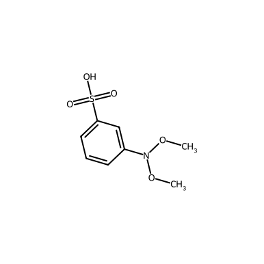 CON(OC)c1cccc(S(=O)(=O)O)c1